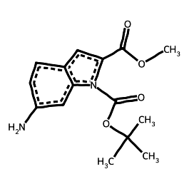 COC(=O)c1cc2ccc(N)cc2n1C(=O)OC(C)(C)C